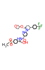 CCS(=O)(=O)c1ccc([C@H](CO)NC(=O)c2ccc(N3CC(c4ccc(C(F)(F)F)cc4)CC[C@H]3COC3CCOC3)nc2)cc1